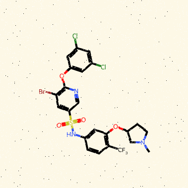 CN1CCC(Oc2cc(NS(=O)(=O)c3cnc(Oc4cc(Cl)cc(Cl)c4)c(Br)c3)ccc2C(F)(F)F)C1